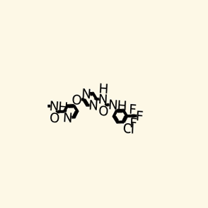 CNC(=O)c1cc(Oc2cnc(NC(=O)Nc3ccc(Cl)c(C(F)(F)F)c3)cn2)ccn1